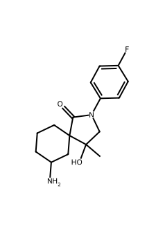 CC1(O)CN(c2ccc(F)cc2)C(=O)C12CCCC(N)C2